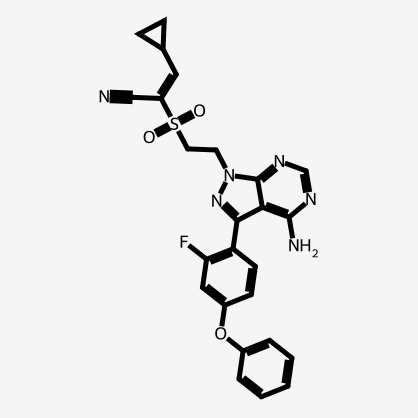 N#C/C(=C\C1CC1)S(=O)(=O)CCn1nc(-c2ccc(Oc3ccccc3)cc2F)c2c(N)ncnc21